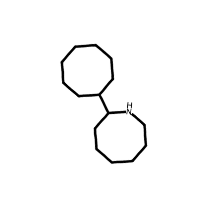 C1CCCC(C2CCCCCCN2)CCC1